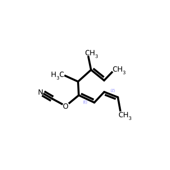 CC=C(C)C(C)/C(=C\C=C/C)OC#N